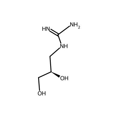 N=C(N)NC[C@@H](O)CO